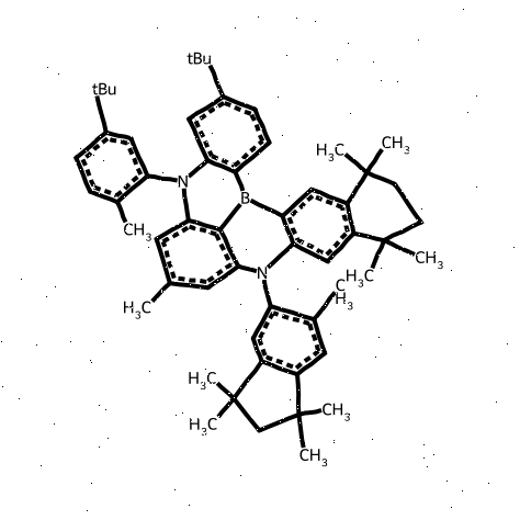 Cc1cc2c3c(c1)N(c1cc4c(cc1C)C(C)(C)CC4(C)C)c1cc4c(cc1B3c1ccc(C(C)(C)C)cc1N2c1cc(C(C)(C)C)ccc1C)C(C)(C)CCC4(C)C